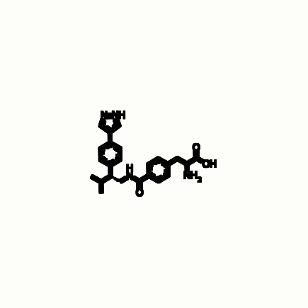 CC(C)[C@@H](CNC(=O)c1ccc(CC(N)C(=O)O)cc1)c1ccc(-c2cn[nH]c2)cc1